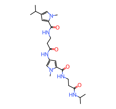 CC(C)NC(=O)CCNC(=O)c1cc(NC(=O)CCNC(=O)c2cc(C(C)C)cn2C)cn1C